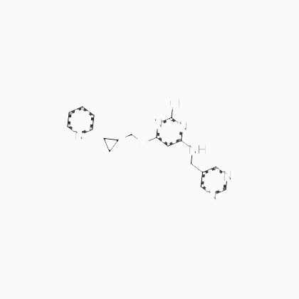 Cc1nc(NCc2cncnc2)cc(OC[C@H]2C[C@@H]2c2ccccn2)n1